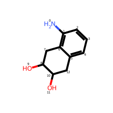 Nc1cccc2c1CC(O)C(O)C2